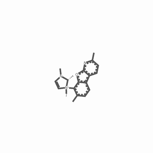 Cc1ccc2c(n1)oc1c([N+]3(I)C=CN(C)[C@@H]3C)c(C)ccc12